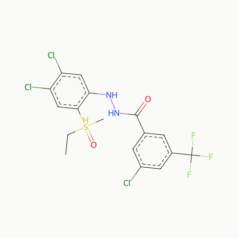 CC[SH](C)(=O)c1cc(Cl)c(Cl)cc1NNC(=O)c1cc(Cl)cc(C(F)(F)F)c1